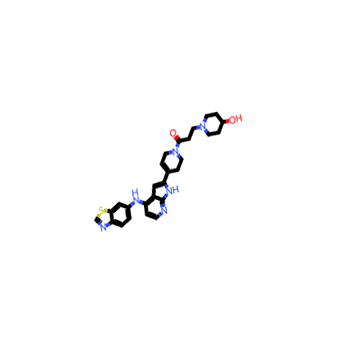 O=C(CCN1CCC(O)CC1)N1CC=C(c2cc3c(Nc4ccc5ncsc5c4)ccnc3[nH]2)CC1